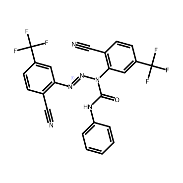 N#Cc1ccc(C(F)(F)F)cc1/N=N/N(C(=O)Nc1ccccc1)c1cc(C(F)(F)F)ccc1C#N